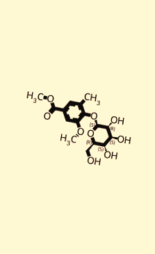 COC(=O)c1cc(C)c(O[C@@H]2O[C@H](CO)[C@@H](O)[C@H](O)[C@H]2O)c(OC)c1